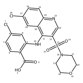 O=C(O)c1ccc(Cl)cc1Nc1c(S(=O)(=O)N2CCOCC2)cnc2ccc(Cl)cc12